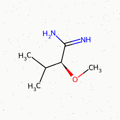 CO[C@H](C(=N)N)C(C)C